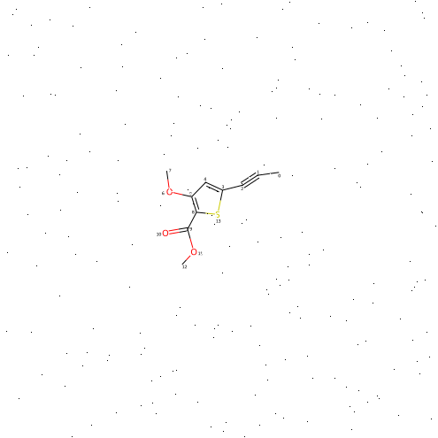 CC#Cc1cc(OC)c(C(=O)OC)s1